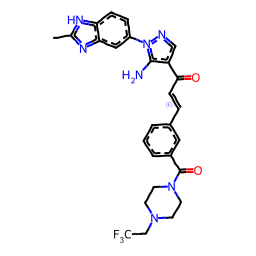 Cc1nc2cc(-n3ncc(C(=O)/C=C/c4cccc(C(=O)N5CCN(CC(F)(F)F)CC5)c4)c3N)ccc2[nH]1